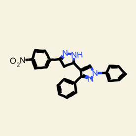 O=[N+]([O-])c1ccc(C2=NNC(c3cn(-c4ccccc4)nc3-c3ccccc3)C2)cc1